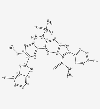 CNC(=O)c1c(-c2ccc(F)cc2)oc2cc(N(C)S(C)(=O)=O)c(-c3ccc(CO)c(-c4cc5c(F)cccc5[nH]4)n3)cc12